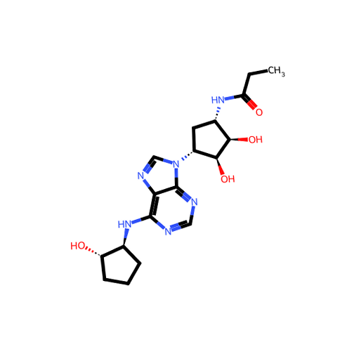 CCC(=O)N[C@H]1C[C@@H](n2cnc3c(N[C@H]4CCC[C@@H]4O)ncnc32)[C@H](O)[C@@H]1O